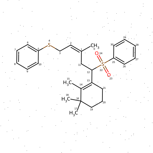 CC(=CCSc1ccccc1)CC(C1=C(C)C(C)(C)CCC1)S(=O)(=O)c1ccccc1